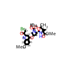 C=CC1C[C@]1(NC(=O)[C@@H]1C[C@@H](Oc2cc(C(=O)CBr)nc3cc(OC)ccc23)CN1C(=O)OC(C)(C)C)C(=O)OC